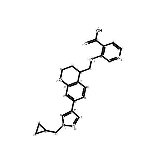 O=C(O)c1ccncc1NCC1CCOc2cc(-c3cnn(CC4CC4)c3)ccc21